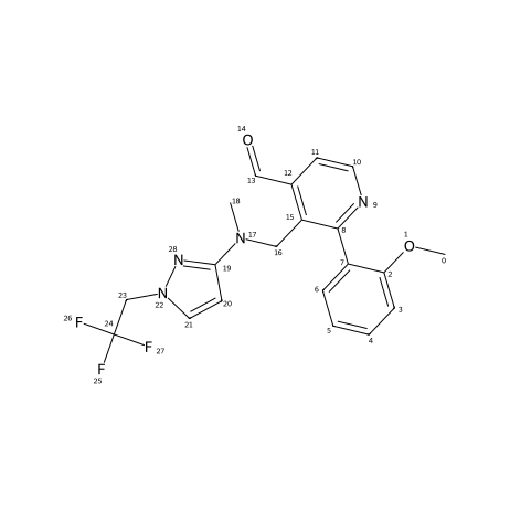 COc1ccccc1-c1nccc(C=O)c1CN(C)c1ccn(CC(F)(F)F)n1